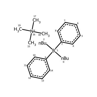 CCCC[B-](CCCC)(c1ccccc1)c1ccccc1.C[N+](C)(C)C